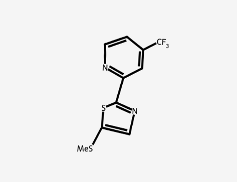 CSc1cnc(-c2cc(C(F)(F)F)ccn2)s1